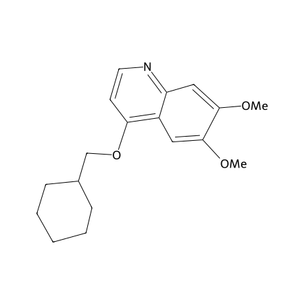 COc1cc2nccc(OCC3CCCCC3)c2cc1OC